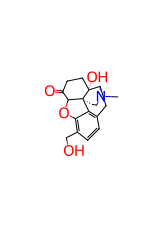 CN1CC[C@]23c4c5ccc(CO)c4OC2C(=O)CC[C@@]3(O)C1C5